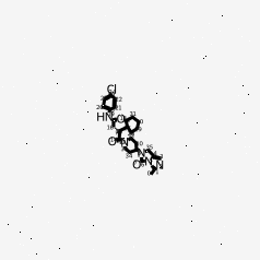 Cc1ncc2n1C(=O)N(C1CCN(C(=O)[C@H](CC(=O)Nc3ccc(Cl)cc3)C3CCCCC3)CC1)C2